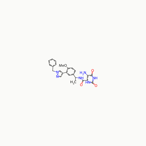 COc1ccc(C(C)NC(=O)c2[nH]c(=O)[nH]c(=O)c2N)cc1-c1cnn(Cc2ccccc2)c1